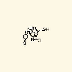 CNc1nc(Oc2ccc(C#N)cc2)n(Cc2ccc(Cl)cn2)c1C(=O)N(C=O)CCCO